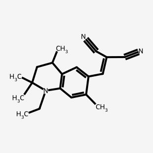 CCN1c2cc(C)c(C=C(C#N)C#N)cc2C(C)CC1(C)C